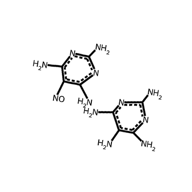 Nc1nc(N)c(N)c(N)n1.Nc1nc(N)c(N=O)c(N)n1